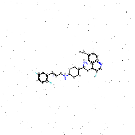 COc1ccc2ncc(F)c(CC(N)C3CCC(NC/C=C/c4cc(F)ccc4F)CC3)c2c1